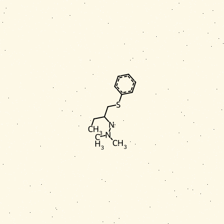 CCC(CSc1ccccc1)[N]N(C)C